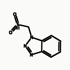 O=[SH](=O)Cn1nnc2ccccc21